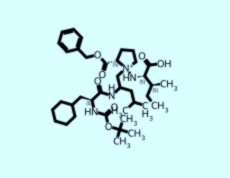 CC[C@H](C)[C@H](N[N+]1(CC(CC(C)C)NC(=O)[C@H](CC2CCCCC2)NC(=O)OC(C)(C)C)CCC[C@H]1C(=O)OCc1ccccc1)C(=O)O